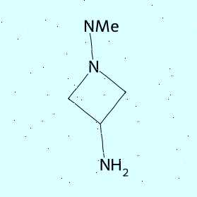 CNN1CC(N)C1